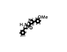 COc1cccc(-c2cncc(C(=O)N(N)CCc3ccccc3)c2)c1